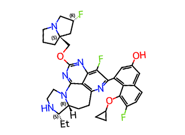 CC[C@@H]1NCCN2c3nc(OC[C@@]45CCCN4C[C@H](F)C5)nc4c(F)c(-c5cc(O)cc6ccc(F)c(OC7CC7)c56)nc(c34)CC[C@H]12